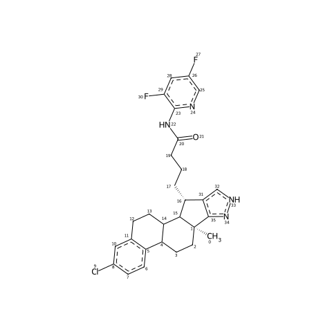 C[C@]12CCC3c4ccc(Cl)cc4CCC3C1[C@H](CCCC(=O)Nc1ncc(F)cc1F)c1c[nH]nc12